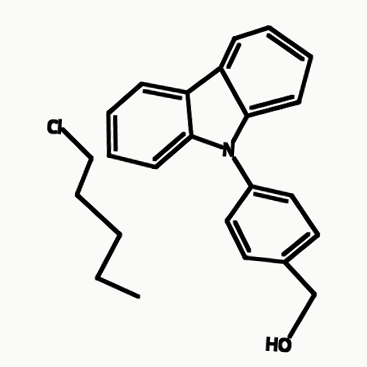 CCCCCCl.OCc1ccc(-n2c3ccccc3c3ccccc32)cc1